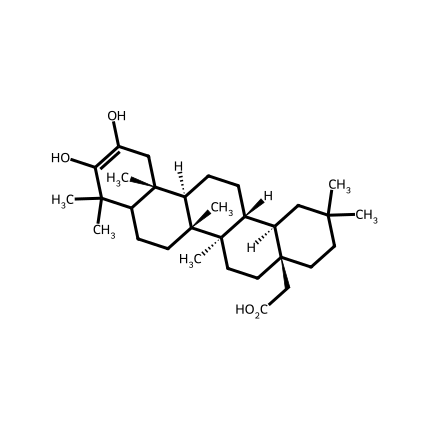 CC1(C)CC[C@]2(CC(=O)O)CC[C@]3(C)[C@H](CC[C@@H]4[C@@]5(C)CC(O)=C(O)C(C)(C)C5CC[C@]43C)[C@H]2C1